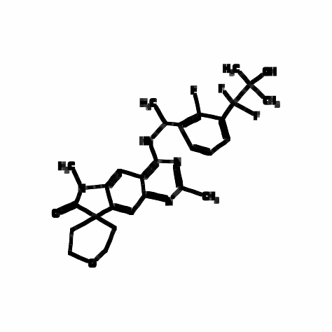 Cc1nc(NC(C)c2cccc(C(F)(F)C(C)(C)O)c2F)c2cc3c(cc2n1)C1(CCOCC1)C(=O)N3C